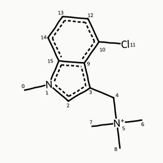 Cn1cc(C[N+](C)(C)C)c2c(Cl)cccc21